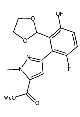 COC(=O)c1cc(-c2c(F)ccc(O)c2C2OCCO2)nn1C